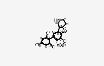 CCCCOc1cc(-c2c(Cl)cc(Cl)cc2Cl)cc2c1OC1CCNCC21